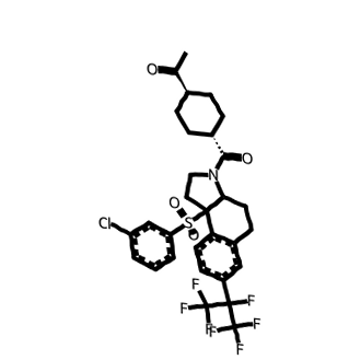 CC(=O)[C@H]1CC[C@H](C(=O)N2CCC3(S(=O)(=O)c4cccc(Cl)c4)c4ccc(C(F)(C(F)(F)F)C(F)(F)F)cc4CCC23)CC1